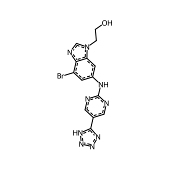 OCCn1cnc2c(Br)cc(Nc3ncc(-c4nnn[nH]4)cn3)cc21